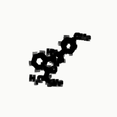 COc1ccc(-c2cnc(C3CCCCN3C(=O)C(C)SC)[nH]2)cc1